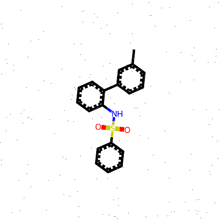 Cc1cccc(-c2ccccc2NS(=O)(=O)c2ccccc2)c1